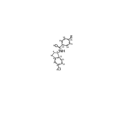 O=C(NC1CCc2cc(Cl)ccc21)c1ccc(F)cc1